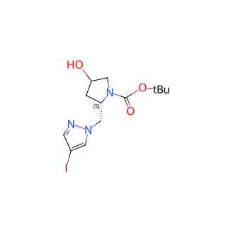 CC(C)(C)OC(=O)N1CC(O)C[C@H]1Cn1cc(I)cn1